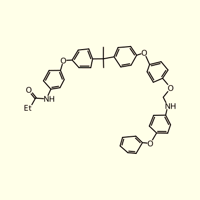 CCC(=O)Nc1ccc(Oc2ccc(C(C)(C)c3ccc(Oc4ccc(OCNc5ccc(Oc6ccccc6)cc5)cc4)cc3)cc2)cc1